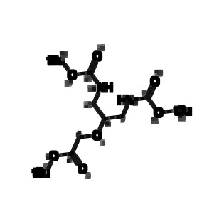 CC(C)(C)OC(=O)COC(CNC(=O)OC(C)(C)C)CNC(=O)OC(C)(C)C